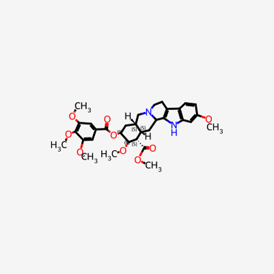 COC(=O)[C@H]1[C@H]2CC3c4[nH]c5cc(OC)ccc5c4CCN3C[C@H]2C[C@@H](OC(=O)c2cc(OC)c(OC)c(OC)c2)[C@@H]1OC